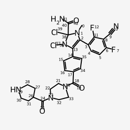 CN1C(c2ccc(F)c(C#N)c2F)=C(c2ccc(C(=O)N3CCN(C(=O)C4CCNCC4)CC3)cc2)N(Cl)C1(Cl)C(N)=O